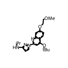 COCCOc1ccc2c(OC(C)(C)C)cc(-n3ccc(NC(C)C)n3)nc2c1